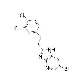 Clc1ccc(CCc2nc3ncc(Br)cc3[nH]2)cc1Cl